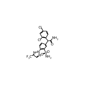 NC(=O)C(c1ccc(-n2ncc(C(F)(F)F)n2)c(S(N)(=O)=O)c1)c1ccc(Cl)cc1Cl